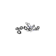 CCC/C=C(\N=C(/CC/C(C)=C\c1ccc2c(c1)oc1ccccc12)c1ccccc1)c1cccc2oc3cc(-c4ccc5c6ccccc6n(-c6ccccc6)c5c4)ccc3c12